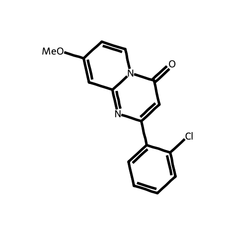 COc1ccn2c(=O)cc(-c3ccccc3Cl)nc2c1